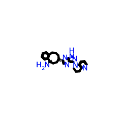 N[C@@H]1CC[C@@H](c2cnc3c(N4CCCc5ncccc54)n[nH]c3n2)CCCc2ccccc21